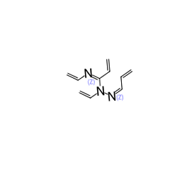 C=C/C=N\N(C=C)/C(C=C)=N\C=C